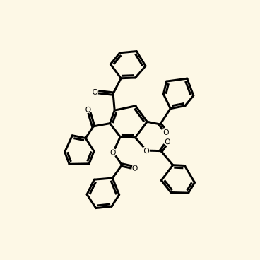 O=C(Oc1c(C(=O)c2ccccc2)cc(C(=O)c2ccccc2)c(C(=O)c2ccccc2)c1OC(=O)c1ccccc1)c1ccccc1